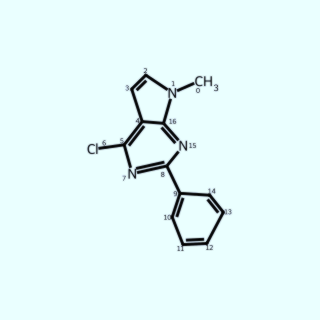 Cn1ccc2c(Cl)nc(-c3ccccc3)nc21